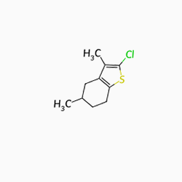 Cc1c(Cl)sc2c1CC(C)CC2